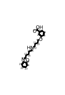 O=C(O)c1cccc(OCCCCNCCCCc2nc3ccccc3o2)c1